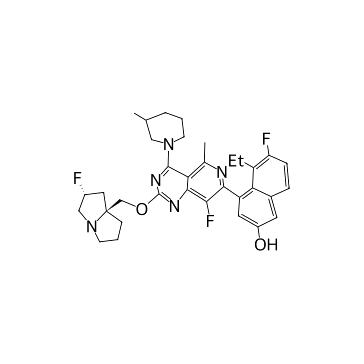 CCc1c(F)ccc2cc(O)cc(-c3nc(C)c4c(N5CCCC(C)C5)nc(OC[C@@]56CCCN5C[C@H](F)C6)nc4c3F)c12